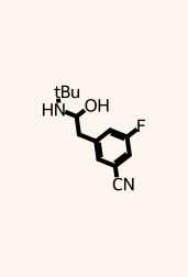 CC(C)(C)NC(O)Cc1cc(F)cc(C#N)c1